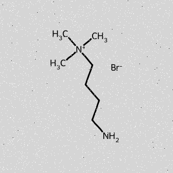 C[N+](C)(C)CCCCN.[Br-]